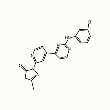 CC1=NN(c2cc(-c3ccnc(Nc4cccc(Cl)c4)n3)ccn2)C(=O)C1